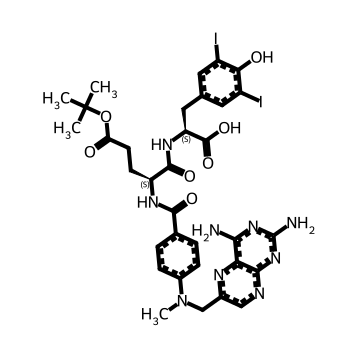 CN(Cc1cnc2nc(N)nc(N)c2n1)c1ccc(C(=O)N[C@@H](CCC(=O)OC(C)(C)C)C(=O)N[C@@H](Cc2cc(I)c(O)c(I)c2)C(=O)O)cc1